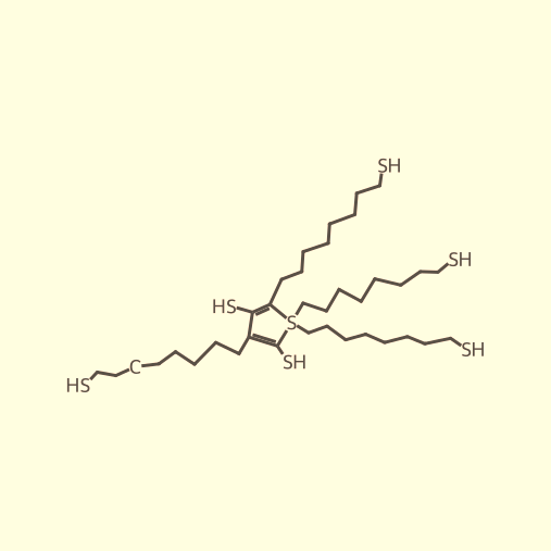 SCCCCCCCCC1=C(S)S(CCCCCCCCS)(CCCCCCCCS)C(CCCCCCCCS)=C1S